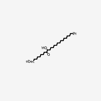 CCCCCCCCCCCCCCCCCC(=O)C(O)CCCCCCCCCCCCCCC(C)C